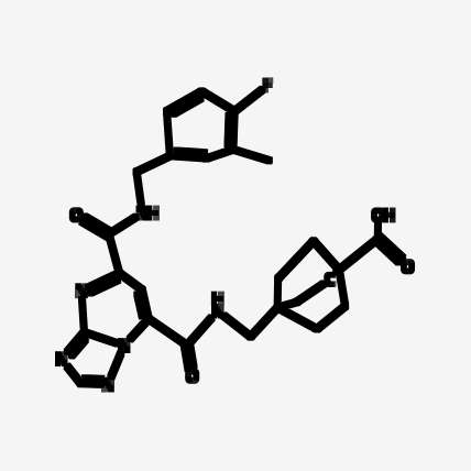 Cc1cc(CNC(=O)c2cc(C(=O)NCC34CCC(C(=O)O)(CC3)CC4)n3ncnc3n2)ccc1F